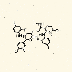 CC(O)CN(Nc1ccc(I)cc1F)C(=O)c1ccc(=O)n(C)c1.CNC(=O)c1ccc(=O)n(C)c1Nc1ccc(I)cc1F